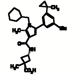 Cc1c(C(=O)N[C@H]2C[C@](C)(C(=O)O)C2)cc(-c2cc(C(C)(C)C)cc(C3(C)CC3)c2)n1CC1CCCCC1